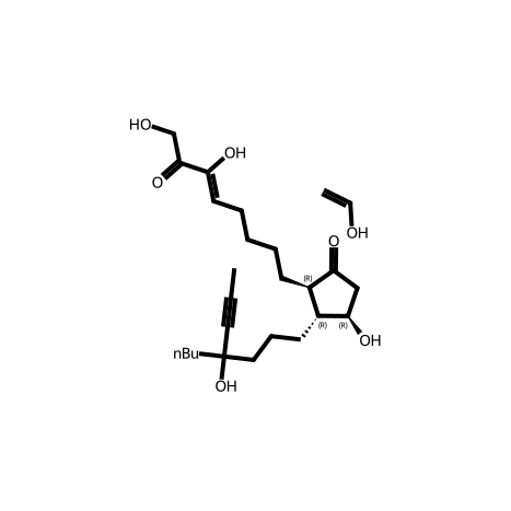 C=CO.CC#CC(O)(CCCC)CCC[C@H]1[C@H](O)CC(=O)[C@@H]1CCCCC=C(O)C(=O)CO